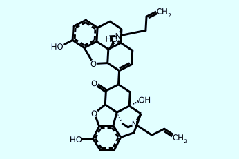 C=CCN1CC[C@]23c4c5ccc(O)c4OC2C(=O)C(C2=CC[C@@]4(O)C6Cc7ccc(O)c8c7[C@@]4(CCN6CC=C)C2O8)C[C@@]3(O)C1C5